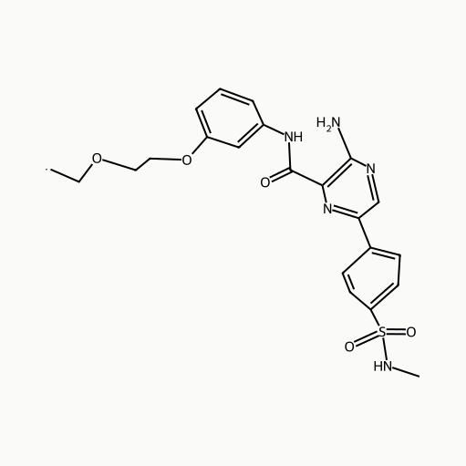 [CH2]COCCOc1cccc(NC(=O)c2nc(-c3ccc(S(=O)(=O)NC)cc3)cnc2N)c1